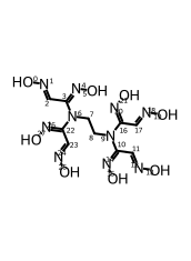 ON=CC(=NO)N(CCN(C(C=NO)=NO)C(C=NO)=NO)C(C=NO)=NO